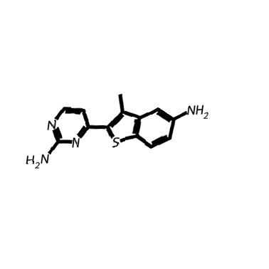 Cc1c(-c2ccnc(N)n2)sc2ccc(N)cc12